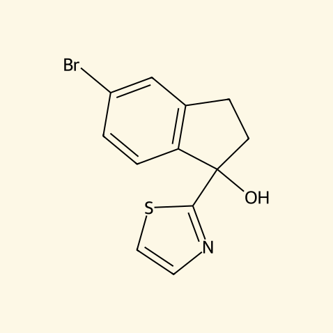 OC1(c2nccs2)CCc2cc(Br)ccc21